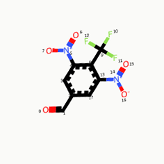 O=Cc1cc([N+](=O)[O-])c(C(F)(F)F)c([N+](=O)[O-])c1